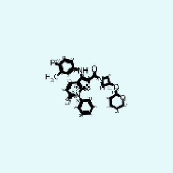 Cc1cc(Nc2c(C(=O)N3CC(OC4CCCCO4)C3)sc3c2ccc(=O)n3-c2ccccc2)ccc1F